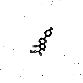 COC(=O)c1ncc2nc(-c3ccc(Br)cc3)ccc2c1O